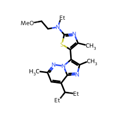 CCC(CC)c1cc(C)nn2c(-c3sc(N(CC)CCOC)nc3C)c(C)nc12